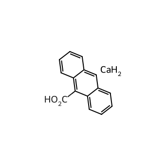 O=C(O)c1c2ccccc2cc2ccccc12.[CaH2]